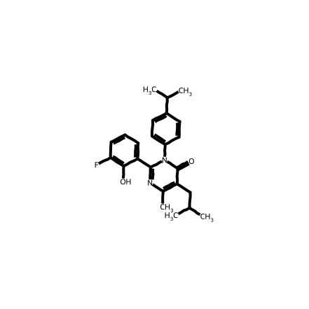 Cc1nc(-c2cccc(F)c2O)n(-c2ccc(C(C)C)cc2)c(=O)c1CC(C)C